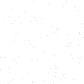 CCC(C)(CC)n1ccc2c(N)ncnc21